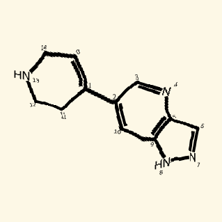 C1=C(c2cnc3cn[nH]c3c2)CCNC1